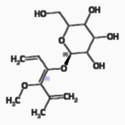 C=C/C(O[C@H]1OC(CO)C(O)C(O)C1O)=C(\OC)C(=C)C